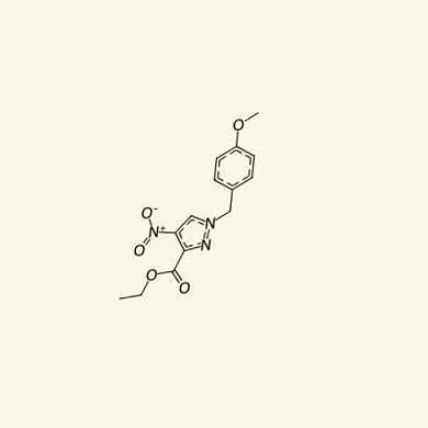 CCOC(=O)c1nn(Cc2ccc(OC)cc2)cc1[N+](=O)[O-]